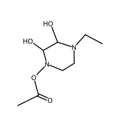 CCN1CCN(OC(C)=O)C(O)C1O